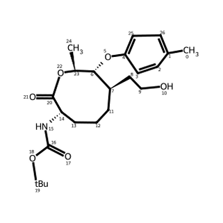 Cc1ccc(O[C@@H]2[C@@H](CCO)CCC[C@H](NC(=O)OC(C)(C)C)C(=O)O[C@H]2C)cc1